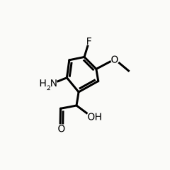 COc1cc(C(O)C=O)c(N)cc1F